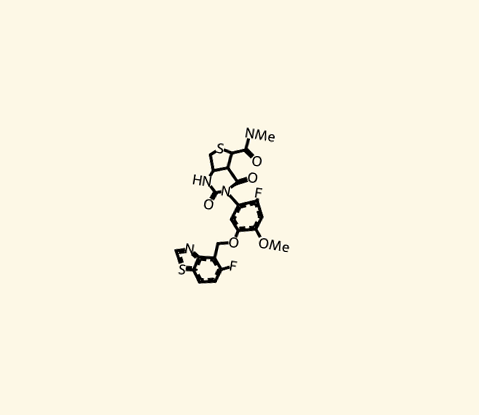 CNC(=O)C1SCC2NC(=O)N(c3cc(OCc4c(F)ccc5scnc45)c(OC)cc3F)C(=O)C21